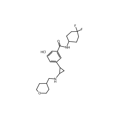 Cl.O=C(NC1CCC(F)(F)CC1)c1cccc(C2CC2NCC2CCOCC2)c1